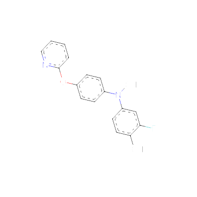 Cc1ccc(N(C)c2ccc(Oc3ccccn3)cc2)cc1F